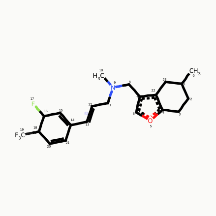 CC1CCc2occ(CN(C)C/C=C/C3=CC(F)C(C(F)(F)F)C=C3)c2C1